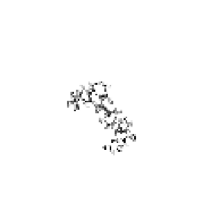 [CH2]CNC(=O)c1csc(C2CCN(C(=O)c3ccccc3-c3ccc(C(F)(F)F)cc3)CC2)n1